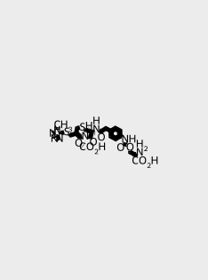 Cn1nnnc1SCC1=C(OC(=O)O)N2C(=O)[C@@H](NC(=O)Cc3ccc(NC(=O)OC[C@H](N)C(=O)O)cc3)[C@@H]2SC1